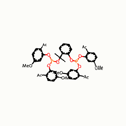 COc1ccc(C(C)=O)c(OP(Oc2cc(OC)ccc2C(C)=O)Oc2ccccc2C(C)(C)OP(Oc2cc(OC)ccc2C(C)=O)Oc2cc(OC)ccc2C(C)=O)c1